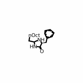 CCCCCCCCCC1NC(=O)[C@H](Cc2ccccc2)N1